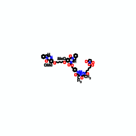 COc1cc2c(cc1OCCCCCOc1cc3c(cc1OC)C(=O)N1c4ccccc4C[C@H]1CN3C(=O)OCc1ccc(NC(=O)[C@H](C)NC(=O)[C@H](C)NC(=O)CCCCC(=O)ON3C(=O)CCC3=O)cc1)N=C[C@@H]1Cc3ccccc3N1C2=O